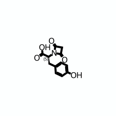 O=C(O)[C@H](Cc1ccc(O)cc1)N1C(=O)CC1=O